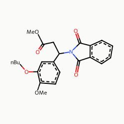 CCCCOc1cc(C(CC(=O)OC)N2C(=O)c3ccccc3C2=O)ccc1OC